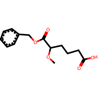 COC(CCCC(=O)O)C(=O)OCc1ccccc1